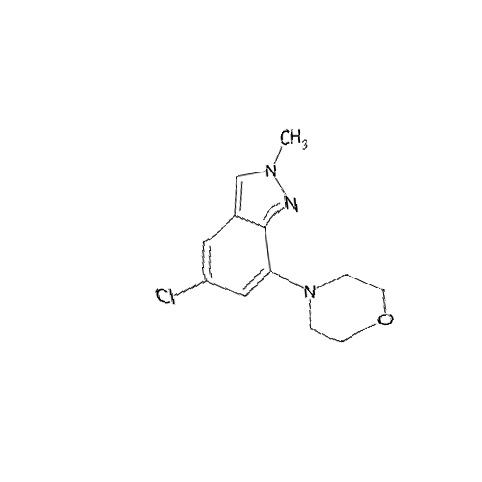 Cn1cc2cc(Cl)cc(N3CCOCC3)c2n1